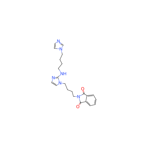 O=C1c2ccccc2C(=O)N1CCCCn1ccnc1NCCCCn1ccnc1